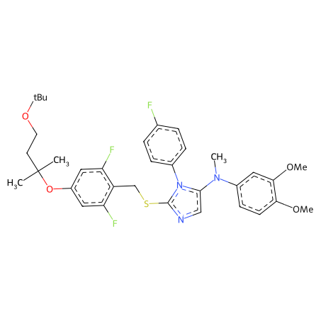 COc1ccc(N(C)c2cnc(SCc3c(F)cc(OC(C)(C)CCOC(C)(C)C)cc3F)n2-c2ccc(F)cc2)cc1OC